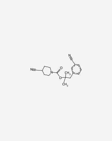 CC(C)(Cc1cccc(C#N)c1)OC(=O)N1CCC(C#N)CC1